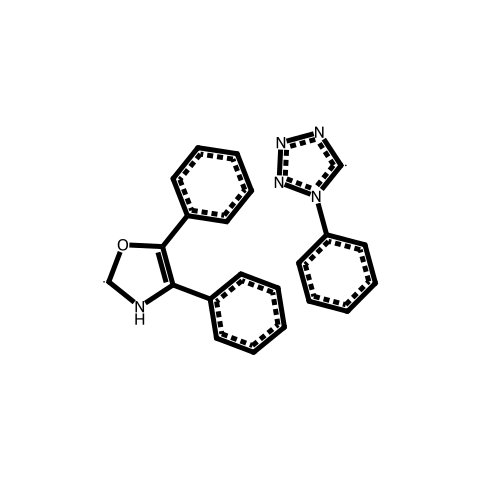 [CH]1NC(c2ccccc2)=C(c2ccccc2)O1.[c]1nnnn1-c1ccccc1